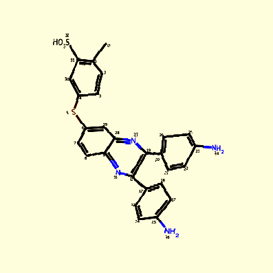 Cc1ccc(Sc2ccc3nc(-c4ccc(N)cc4)c(-c4ccc(N)cc4)nc3c2)cc1S(=O)(=O)O